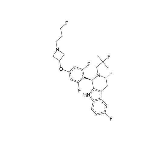 C[C@@H]1Cc2c([nH]c3ccc(F)cc23)[C@@H](c2c(F)cc(OC3CN(CCCF)C3)cc2F)N1CC(C)(C)F